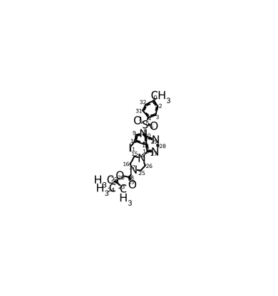 Cc1ccc(S(=O)(=O)n2cc(I)c3c(N4CCN(C(=O)OC(C)(C)C)CC4)ncnc32)cc1